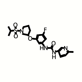 Cc1ccc(NC(=O)Nc2cc(F)cc(OC3CCCN(S(=O)(=O)C(C)C)C3)c2)cn1